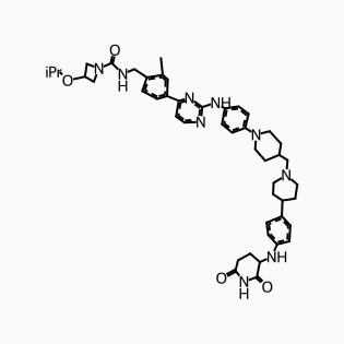 Cc1cc(-c2ccnc(Nc3ccc(N4CCC(CN5CCC(c6ccc(NC7CCC(=O)NC7=O)cc6)CC5)CC4)cc3)n2)ccc1CNC(=O)N1CC(OC(C)C)C1